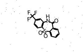 O=C1Nc2cc(C(F)(F)F)ccc2S(=O)(=O)c2ccccc21